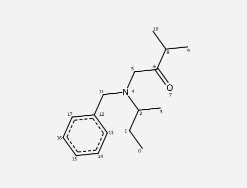 CCC(C)N(CC(=O)C(C)C)Cc1ccccc1